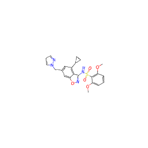 COc1cccc(OC)c1S(=O)(=O)Nc1noc2cc(Cn3cccn3)cc(C3CC3)c12